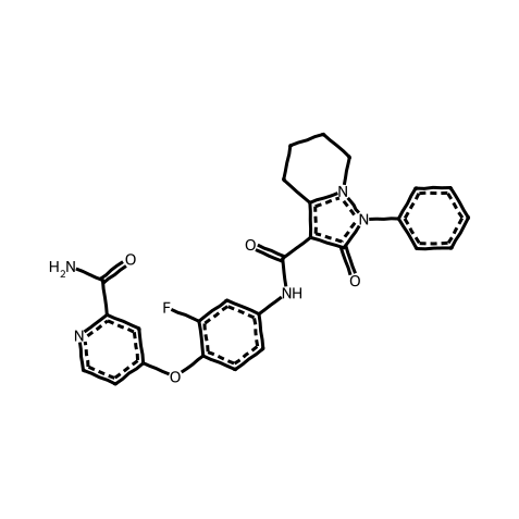 NC(=O)c1cc(Oc2ccc(NC(=O)c3c4n(n(-c5ccccc5)c3=O)CCCC4)cc2F)ccn1